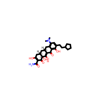 CN(C)c1cc(CCC2CCCC2)c(O)c2c1C[C@H]1C[C@H]3CC(O)=C(C(N)=O)C(=O)[C@@]3(O)C(O)=C1C2=O